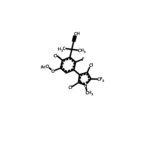 C#CC(C)(C)c1c(F)c(-c2c(Cl)c(C(F)(F)F)n(C)c2Cl)cc(OOC(C)=O)c1Cl